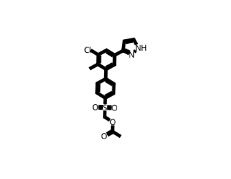 CC(=O)OCS(=O)(=O)c1ccc(-c2cc(-c3cc[nH]n3)cc(Cl)c2C)cc1